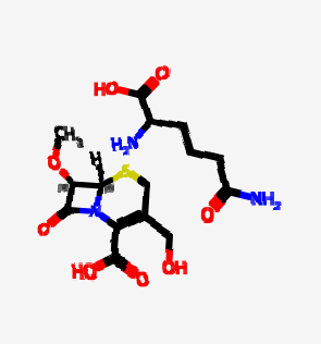 CO[C@@H]1C(=O)N2C(C(=O)O)=C(CO)CS[C@@H]12.NC(=O)CCCC(N)C(=O)O